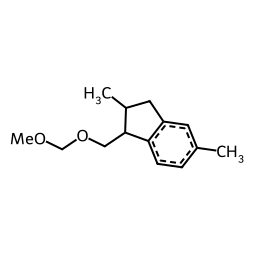 COCOCC1c2ccc(C)cc2CC1C